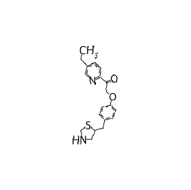 CCc1ccc(C(=O)COc2ccc(CC3CNCS3)cc2)nc1